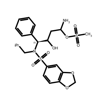 CC(C)CN([C@@H](c1ccccc1)C(O)CC(N)OS(C)(=O)=O)S(=O)(=O)c1ccc2c(c1)OCO2